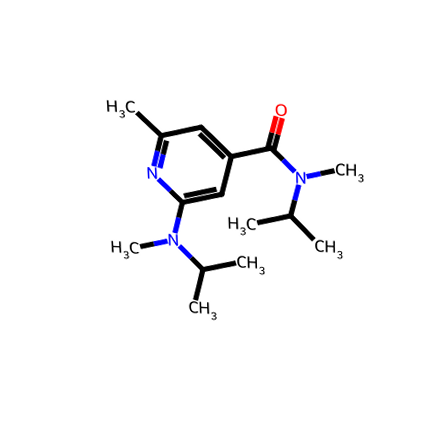 Cc1cc(C(=O)N(C)C(C)C)cc(N(C)C(C)C)n1